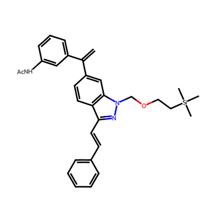 C=C(c1cccc(NC(C)=O)c1)c1ccc2c(C=Cc3ccccc3)nn(COCC[Si](C)(C)C)c2c1